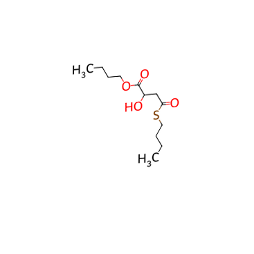 CCCCOC(=O)C(O)CC(=O)SCCCC